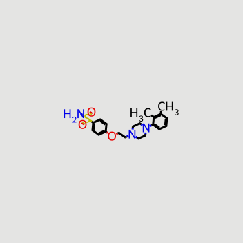 Cc1cccc(N2CCN(CCOc3ccc(S(N)(=O)=O)cc3)CC2)c1C